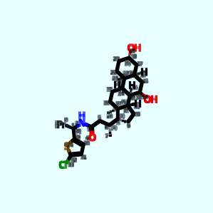 CC(C)[C@@H](NC(=O)C[C@@H](C)[C@H]1CC[C@H]2[C@@H]3[C@H](O)C[C@@H]4C[C@@H](O)CC[C@]4(C)[C@H]3CC[C@]12C)c1ccc(Cl)s1